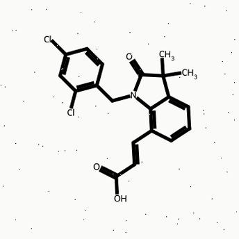 CC1(C)C(=O)N(Cc2ccc(Cl)cc2Cl)c2c(/C=C/C(=O)O)cccc21